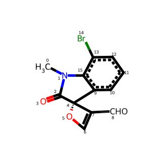 CN1C(=O)[C@@]2(OC=C2C=O)c2cccc(Br)c21